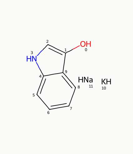 Oc1c[nH]c2ccccc12.[KH].[NaH]